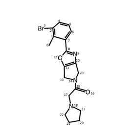 Cc1c(Br)cccc1-c1nc2c(o1)CN(C(=O)CN1CCCC1)C2